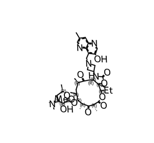 CC[C@H]1OC(=O)[C@H](C)C(=O)[C@H](C)[C@@H](O[C@@H]2O[C@H](C)C[C@H](N(C)C)[C@H]2O)[C@](C)(OC)C[C@@H](C)C(=O)[C@H](C)[C@H]2N(C3CN(Cc4c(O)cnc5cc(C)cnc45)C3)C(=O)O[C@]12C